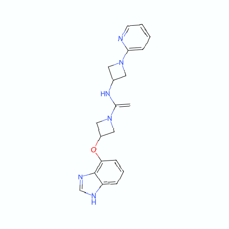 C=C(NC1CN(c2ccccn2)C1)N1CC(Oc2cccc3[nH]cnc23)C1